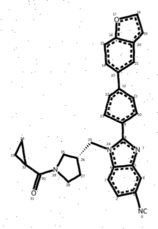 [C-]#[N+]c1ccc2c(c1)nc(-c1ccc(-c3ccc4occc4c3)cc1)n2C[C@@H]1CCN(C(=O)C2CC2)C1